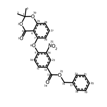 CC1(C)OC(=O)c2c(Oc3ccc(C(=O)OCc4ccccc4)cc3[N+](=O)[O-])cccc2O1